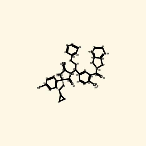 N=C1N[C@](CCC2CC2)(c2ccc(F)cc2)C(=O)N1C(CCc1ccccc1)c1ccc(C(F)(F)F)c(C(=O)N2Cc3nccnc3C2)c1